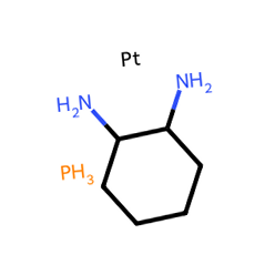 NC1CCCCC1N.P.[Pt]